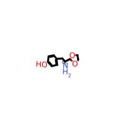 N[C@@H](Cc1ccc(O)cc1)C1OCCO1